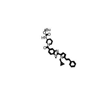 Cn1c(-c2ccc(/C=C/c3ccccc3)n2CC2CC2)nc2cc(C(=O)N3CCC[C@@H](NC(=O)OC(C)(C)C)C3)ccc21